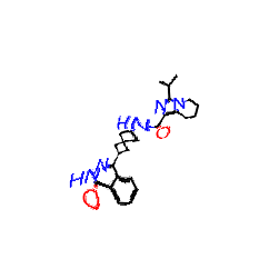 CC(C)c1nc(C(=O)N[C@H]2CC3(C2)C[C@H](c2n[nH]c(=O)c4ccccc42)C3)c2n1CCCC2